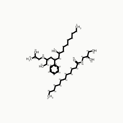 CCCCCCCCC(O)CC(CC(CO)OCC(C)O)c1ccccc1.CCCCCCCCCCCC(=O)OCC(O)CO